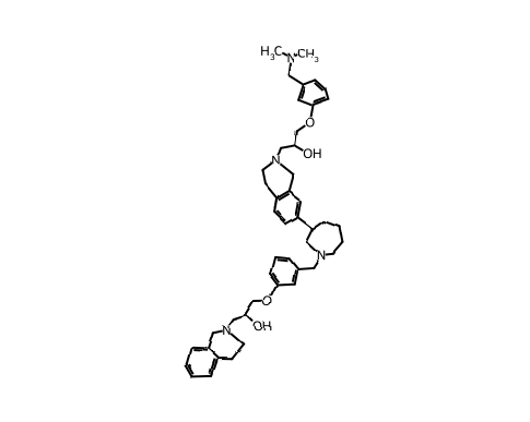 CN(C)Cc1cccc(OCC(O)CN2CCc3ccc(C4CCCCN(Cc5cccc(OCC(O)CN6CCc7ccccc7C6)c5)C4)cc3C2)c1